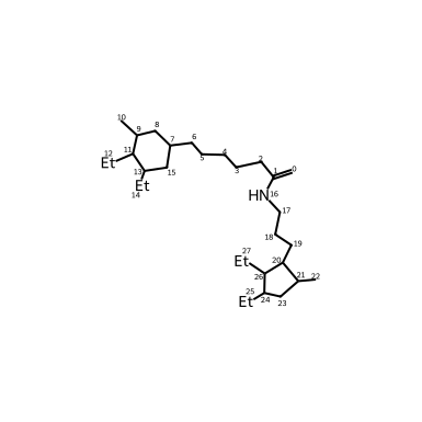 C=C(CCCCCC1CC(C)C(CC)C(CC)C1)NCCCC1C(C)CC(CC)C1CC